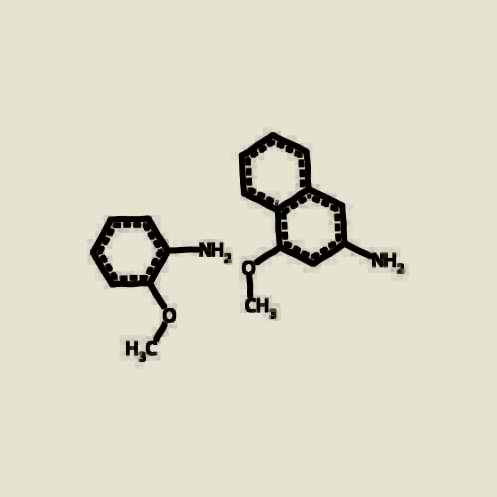 COc1cc(N)cc2ccccc12.COc1ccccc1N